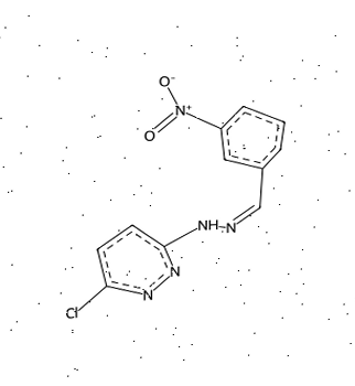 O=[N+]([O-])c1cccc(/C=N\Nc2ccc(Cl)nn2)c1